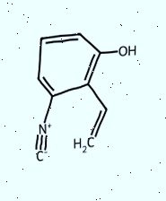 [C-]#[N+]c1cccc(O)c1C=C